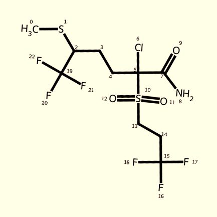 CSC(CCC(Cl)(C(N)=O)S(=O)(=O)CCC(F)(F)F)C(F)(F)F